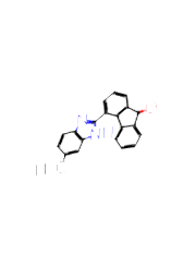 Cc1ccc2nc(-c3cccc4c3-c3ccccc3C4=O)[nH]c2c1